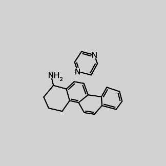 NC1CCCc2c1ccc1c2ccc2ccccc21.c1cnccn1